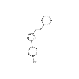 CC(C)c1ccc(-c2ccc(COc3ccccc3)s2)cc1